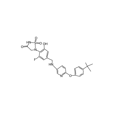 CC(C)(C)c1ccc(Oc2ccc(NCc3cc(O)c(N4CC(=O)NS4(=O)=O)c(F)c3)cn2)cc1